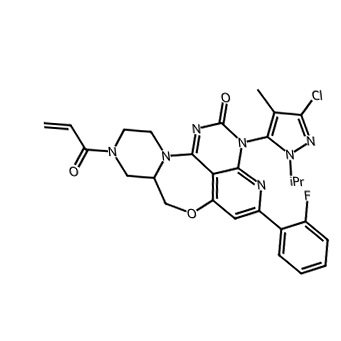 C=CC(=O)N1CCN2c3nc(=O)n(-c4c(C)c(Cl)nn4C(C)C)c4nc(-c5ccccc5F)cc(c34)OCC2C1